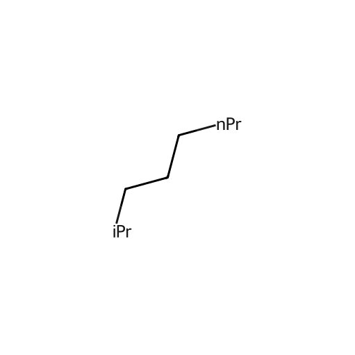 [CH]C(C)CCCCCC